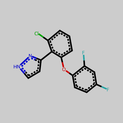 Fc1ccc(Oc2cccc(Cl)c2-c2cc[nH]n2)c(F)c1